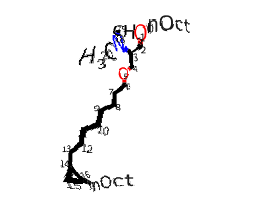 CCCCCCCCOC[C@@H](COCCCCCCCCC1CC1CCCCCCCC)N(C)C